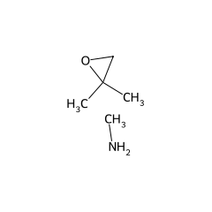 CC1(C)CO1.CN